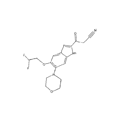 N#CCC(=O)c1cc2cc(OCC(F)F)c(N3CCOCC3)cc2[nH]1